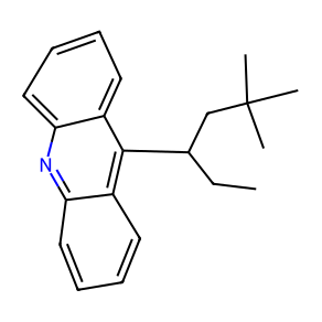 CCC(CC(C)(C)C)c1c2ccccc2nc2ccccc12